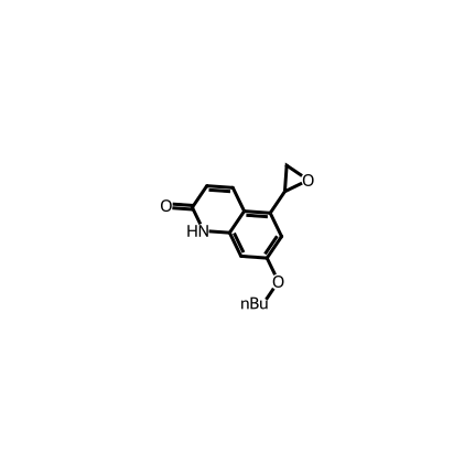 CCCCOc1cc(C2CO2)c2ccc(=O)[nH]c2c1